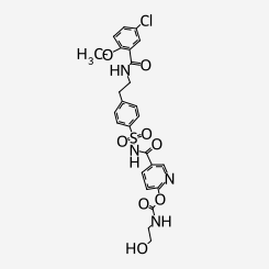 COc1ccc(Cl)cc1C(=O)NCCc1ccc(S(=O)(=O)NC(=O)c2ccc(OC(=O)NCCO)nc2)cc1